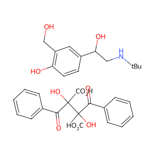 CC(C)(C)NCC(O)c1ccc(O)c(CO)c1.O=C(O)C(O)(C(=O)c1ccccc1)C(O)(C(=O)O)C(=O)c1ccccc1